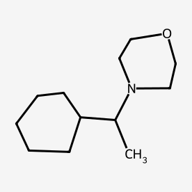 CC(C1CCCCC1)N1CCOCC1